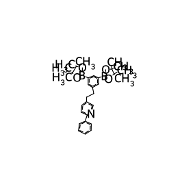 CC1(C)OB(c2cc(CCc3ccc(-c4ccccc4)nc3)cc(B3OC(C)(C)C(C)(C)O3)c2)OC1(C)C